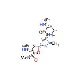 CNC(=O)c1oc(-c2cc(-n3cccc(NC(C)C)c3=O)n(C)n2)cc1NC(C)C